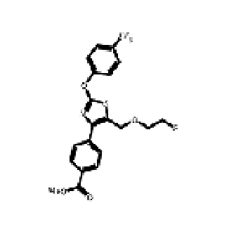 COC(=O)c1ccc(-c2nc(Oc3ccc(C(F)(F)F)cc3)sc2COCCF)cc1